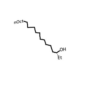 CCCCCCCCCCCCCCCCCC[C@H](O)CC